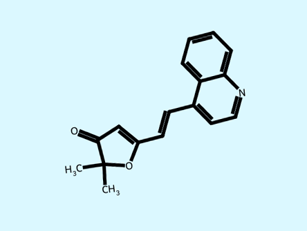 CC1(C)OC(/C=C/c2ccnc3ccccc23)=CC1=O